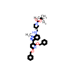 Cn1nc(-c2ccc(OCc3ccccc3)nc2OCc2ccccc2)c2cccc(NC[C@H]3CCN(C(=O)OC(C)(C)C)C3)c21